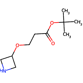 CC(C)(C)OC(=O)CCOC1CNC1